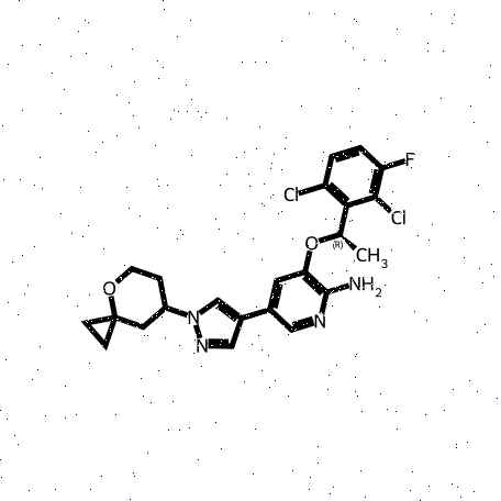 C[C@@H](Oc1cc(-c2cnn(C3CCOC4(CC4)C3)c2)cnc1N)c1c(Cl)ccc(F)c1Cl